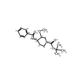 COC1CN(C(=O)OC(C)(C)C)CCC1NC(=O)c1ccccc1